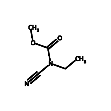 CCN(C#N)C(=O)OC